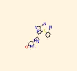 N#Cc1ccccc1Sc1cc(-c2cnn([C@H]3CCC(=O)NC3)c2)cn2ncc(C#N)c12